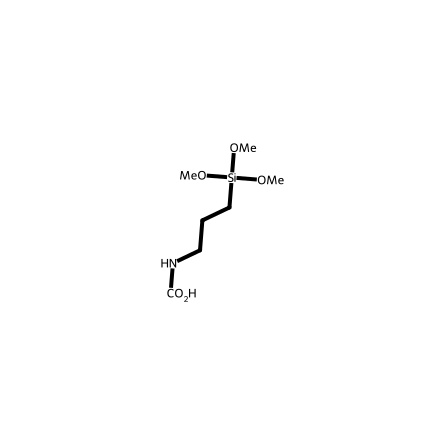 CO[Si](CCCNC(=O)O)(OC)OC